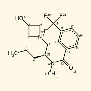 CCC[C@@H](CN1CC(O)C1)N(C)C(=O)c1cccc(C(F)(F)F)c1